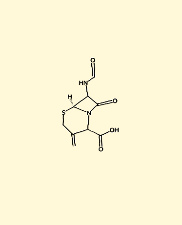 C=C1CS[C@H]2C(NC=O)C(=O)N2C1C(=O)O